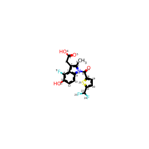 Cc1c(CC(=O)O)c2c(F)c(O)ccc2n1C(=O)c1ccc(C(F)F)s1